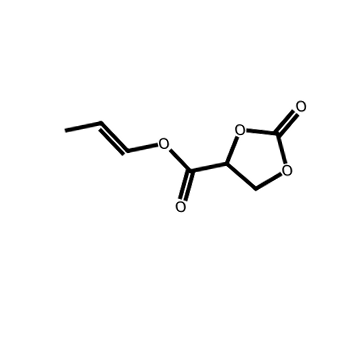 C/C=C/OC(=O)C1COC(=O)O1